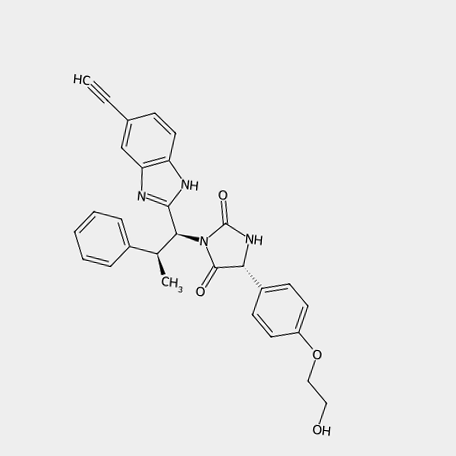 C#Cc1ccc2[nH]c([C@H]([C@@H](C)c3ccccc3)N3C(=O)N[C@H](c4ccc(OCCO)cc4)C3=O)nc2c1